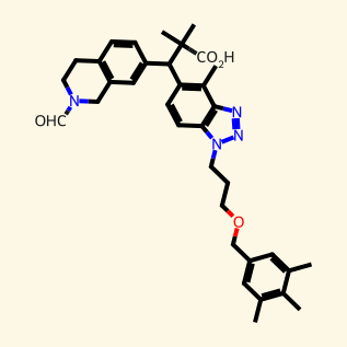 Cc1cc(COCCCn2nnc3c(C)c(C(c4ccc5c(c4)CN(C=O)CC5)C(C)(C)C(=O)O)ccc32)cc(C)c1C